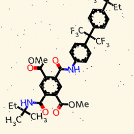 CCC(C)(C)NC(=O)c1cc(C(=O)OC)c(C(=O)Nc2ccc(C(c3ccc(C(C)(C)CC)cc3)(C(F)(F)F)C(F)(F)F)cc2)cc1C(=O)OC